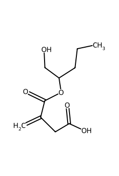 C=C(CC(=O)O)C(=O)OC(CO)CCC